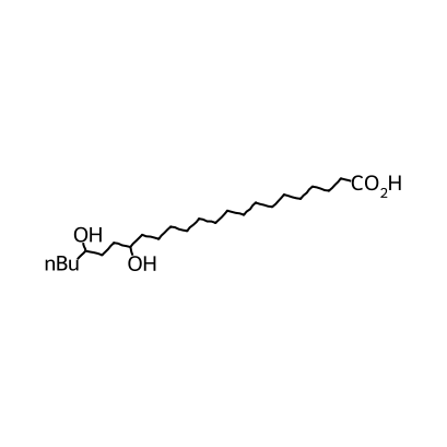 CCCCC(O)CCC(O)CCCCCCCCCCCCCCCC(=O)O